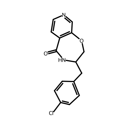 O=C1NC(Cc2ccc(Cl)cc2)COc2cnccc21